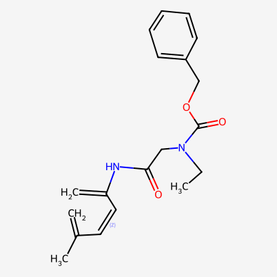 C=C(C)/C=C\C(=C)NC(=O)CN(CC)C(=O)OCc1ccccc1